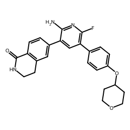 Nc1nc(F)c(-c2ccc(OC3CCOCC3)cc2)cc1-c1ccc2c(c1)CCNC2=O